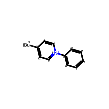 CCC(C)c1cc[n+](-c2ccccc2)cc1